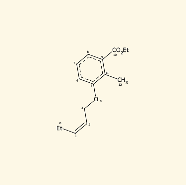 CC/C=C\COc1cccc(C(=O)OCC)c1C